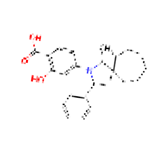 CC1N(c2ccc(C(=O)O)c(O)c2)C(c2ccccc2)CC12CCCCCC2